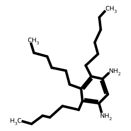 CCCCCCc1c(N)cc(N)c(CCCCCC)c1CCCCCC